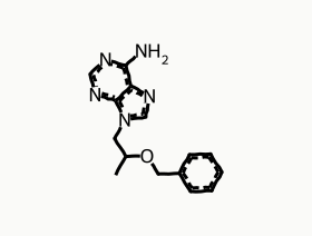 CC(Cn1cnc2c(N)ncnc21)OCc1ccccc1